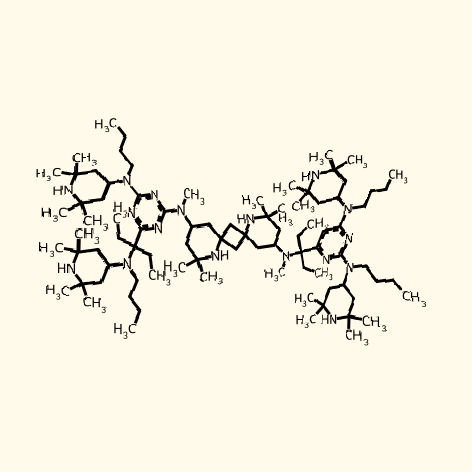 CCCCN(c1cc(C(CC)(CC)N(C)C2CC(C)(C)NC3(C2)CC2(CC(N(C)c4nc(N(CCCC)C5CC(C)(C)NC(C)(C)C5)nc(C(CC)(CC)N(CCCC)C5CC(C)(C)NC(C)(C)C5)n4)CC(C)(C)N2)C3)nc(N(CCCC)C2CC(C)(C)NC(C)(C)C2)n1)C1CC(C)(C)NC(C)(C)C1